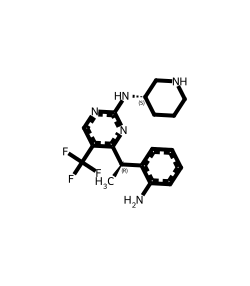 C[C@H](c1ccccc1N)c1nc(N[C@H]2CCCNC2)ncc1C(F)(F)F